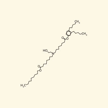 CCCCCCCCCOC(=O)CCCCCCCN(CCO)CCCCCCCC(=O)Oc1ccc(CCCCC)c(CCCCC)c1